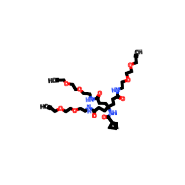 C#CCOCCOCCNC(=O)CCC(CCC(=O)NCCOCCOCC#C)(CCC(=O)NCCOCCOCC#C)NC(=O)C12C[C](C1)C2